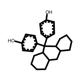 Oc1ccc(C2(c3ccc(O)cc3)C3CCCCC3CC3CCCCC32)cc1